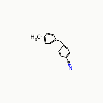 Cc1ccc(Cc2ccc(C#N)cc2)cc1